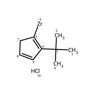 CC(C)(C)C1=[C]([Zr])CC=C1.Cl